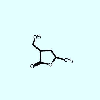 CC1CC(CO)C(=O)O1